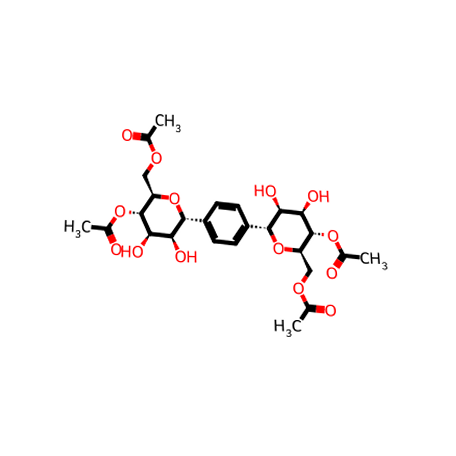 CC(=O)OC[C@H]1O[C@H](c2ccc([C@H]3O[C@H](COC(C)=O)[C@@H](OC(C)=O)[C@H](O)[C@@H]3O)cc2)[C@@H](O)[C@@H](O)[C@@H]1OC(C)=O